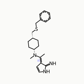 C/C(=C1/C=CNC1=N)N(C)[C@H]1CC[C@@H](CSCc2ccccc2)CC1